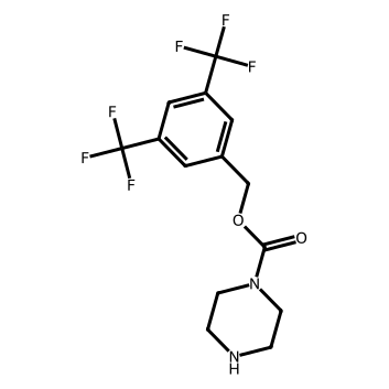 O=C(OCc1cc(C(F)(F)F)cc(C(F)(F)F)c1)N1CCNCC1